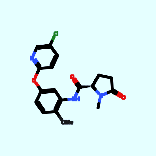 COc1ccc(Oc2ccc(Cl)cn2)cc1NC(=O)[C@@H]1CCC(=O)N1C